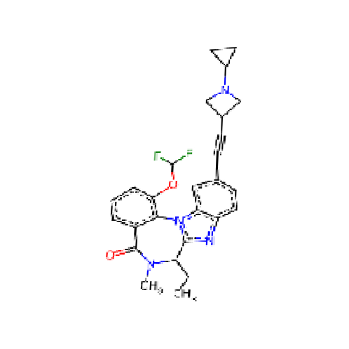 CCC1c2nc3ccc(C#CC4CN(C5CC5)C4)cc3n2-c2c(OC(F)F)cccc2C(=O)N1C